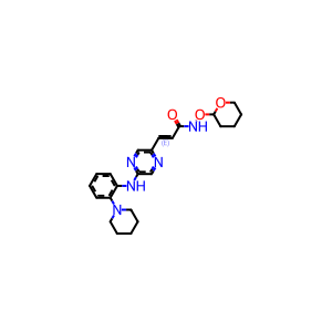 O=C(/C=C/c1cnc(Nc2ccccc2N2CCCCC2)cn1)NOC1CCCCO1